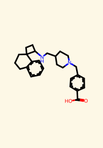 O=C(O)c1ccc(CN2CCC(CNC3CCC34CCCc3ccccc34)CC2)cc1